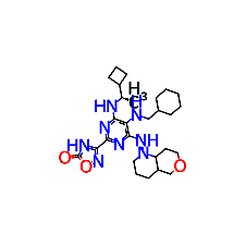 C[C@@H](Nc1nc(-c2noc(=O)[nH]2)nc(NN2CCCC3COCCC32)c1NCC1CCCCC1)C1CCC1